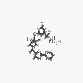 Cc1nc(-c2ncccn2)sc1C(=O)N1C[C@@H]2C(Oc3cc(C(C)(C)NC(=O)O)cc(Cl)n3)[C@@H]2C1